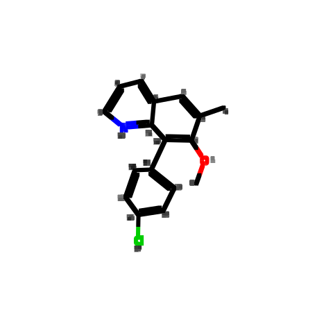 COc1c(C)cc2cccnc2c1-c1ccc(Cl)cc1